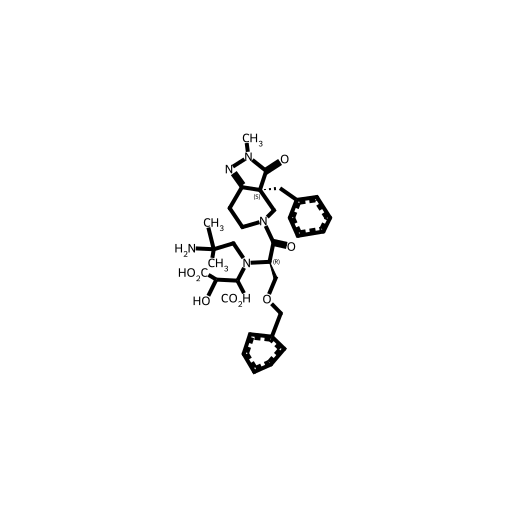 CN1N=C2CCN(C(=O)[C@@H](COCc3ccccc3)N(CC(C)(C)N)C(C(=O)O)C(O)C(=O)O)C[C@]2(Cc2ccccc2)C1=O